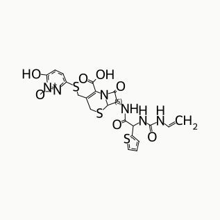 C=CNC(=O)NC(C(=O)N[C@H]1C(=O)N2C(C(=O)O)=C(CSc3ccc(O)[n+]([O-])n3)CSC12)c1cccs1